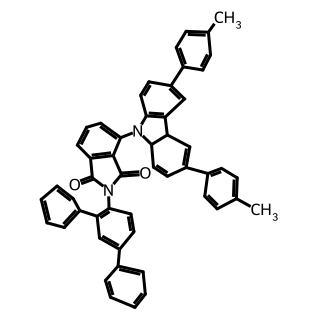 Cc1ccc(C2=CC3c4cc(-c5ccc(C)cc5)ccc4N(c4cccc5c4C(=O)N(c4ccc(-c6ccccc6)cc4-c4ccccc4)C5=O)C3C=C2)cc1